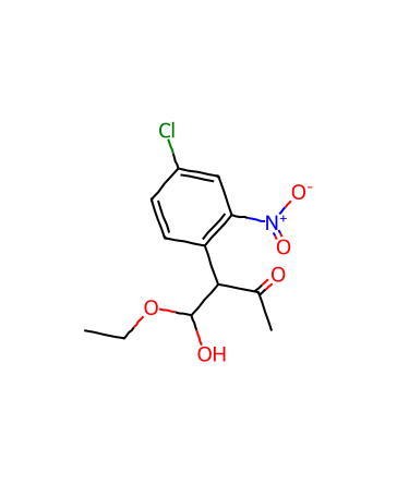 CCOC(O)C(C(C)=O)c1ccc(Cl)cc1[N+](=O)[O-]